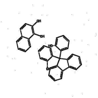 Oc1ccc2ccccc2c1O.Oc1ccccc1C1(c2ccccc2O)c2ccccc2-c2ccccc21